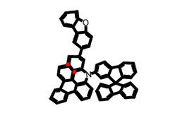 c1cc(-c2ccc3oc4ccccc4c3c2)cc(N(c2ccc3c(c2)C2(c4ccccc4-c4ccccc42)c2ccccc2-3)c2cccc3c4ccccc4c4ccccc4c23)c1